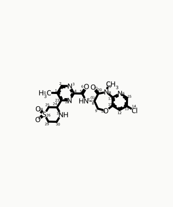 Cc1cnc(C(=O)N[C@H]2COc3cc(Cl)cnc3N(C)C2=O)nc1C1CS(=O)(=O)CCN1